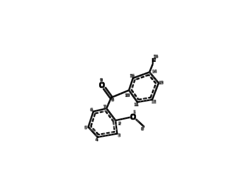 COc1ccccc1C(=O)c1cccc(F)c1